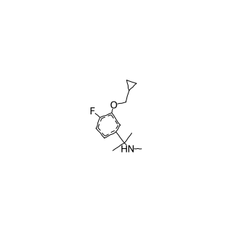 CNC(C)(C)c1ccc(F)c(OCC2CC2)c1